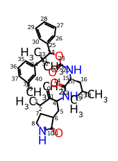 C=C(CC)C(CC1CCNC1=O)NC(=O)[C@H](CC(C)C)NC(=O)OC(c1ccccc1)C(C)(C)c1cccc(C)c1